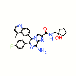 Cc1ccnc2ccc(-c3c(-c4ccc(F)cc4)nc(N)c4nc(C(=O)NCC5(O)CCCC5)cn34)cc12